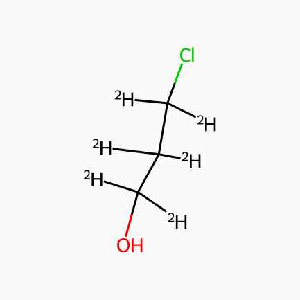 [2H]C([2H])(O)C([2H])([2H])C([2H])([2H])Cl